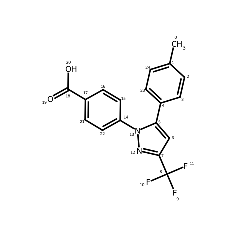 Cc1ccc(-c2cc(C(F)(F)F)nn2-c2ccc(C(=O)O)cc2)cc1